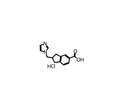 Cl.O=C(O)c1ccc2c(c1)CC(Cn1ccnc1)C2